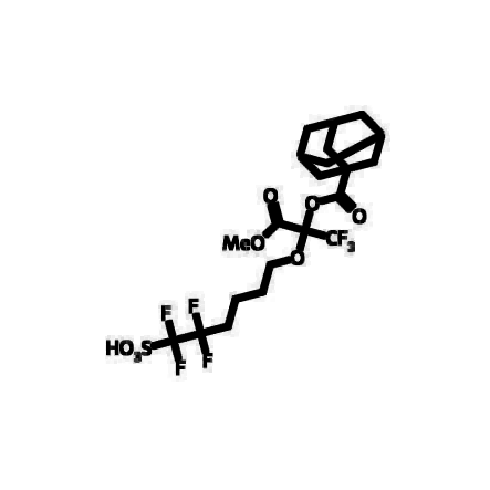 COC(=O)C(OCCCCC(F)(F)C(F)(F)S(=O)(=O)O)(OC(=O)C12CC3CC(CC(C3)C1)C2)C(F)(F)F